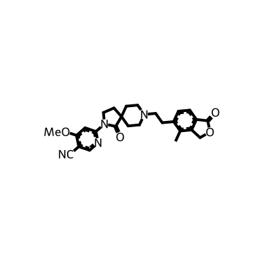 COc1cc(N2CCC3(CCN(CCc4ccc5c(c4C)COC5=O)CC3)C2=O)ncc1C#N